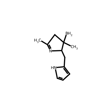 BC1(C)CC(C)=NC1Cc1ccc[nH]1